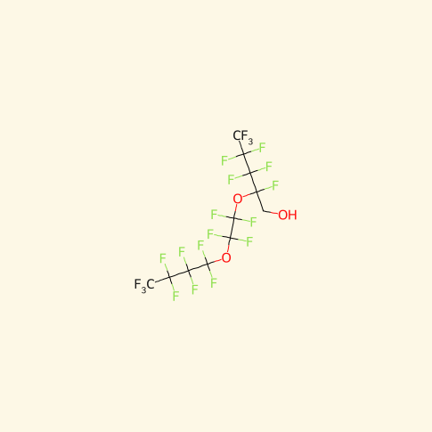 OCC(F)(OC(F)(F)C(F)(F)OC(F)(F)C(F)(F)C(F)(F)C(F)(F)F)C(F)(F)C(F)(F)C(F)(F)F